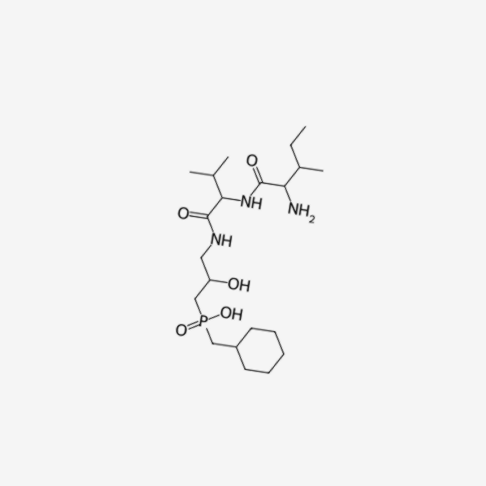 CCC(C)C(N)C(=O)NC(C(=O)NCC(O)CP(=O)(O)CC1CCCCC1)C(C)C